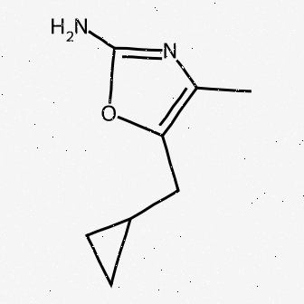 Cc1nc(N)oc1CC1CC1